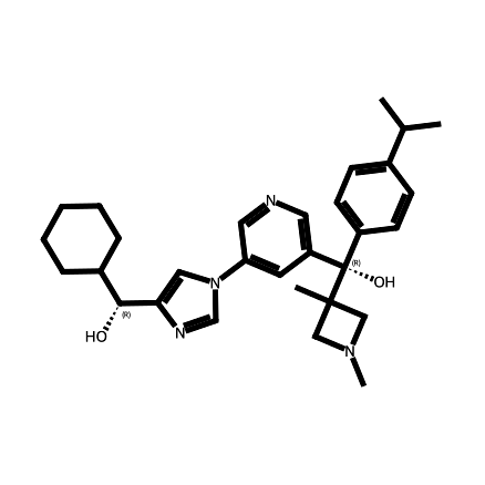 CC(C)c1ccc([C@](O)(c2cncc(-n3cnc([C@H](O)C4CCCCC4)c3)c2)C2(C)CN(C)C2)cc1